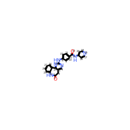 O=C1Cc2cnc(Nc3ccc(C(=O)Nc4ccncc4)cc3)nc2-c2ccccc2N1